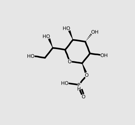 O=[PH](O)O[C@H]1OC([C@H](O)CO)[C@@H](O)[C@H](O)C1O